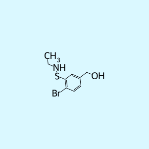 CCNSc1cc(CO)ccc1Br